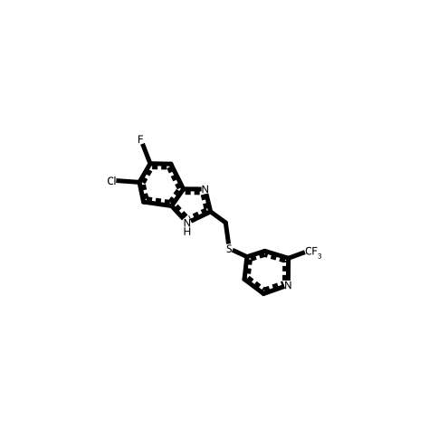 Fc1cc2nc(CSc3ccnc(C(F)(F)F)c3)[nH]c2cc1Cl